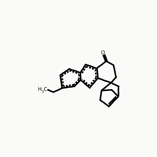 CCc1ccc2cc3c(cc2c1)C1(CCC3=O)CC2=CCC1C2